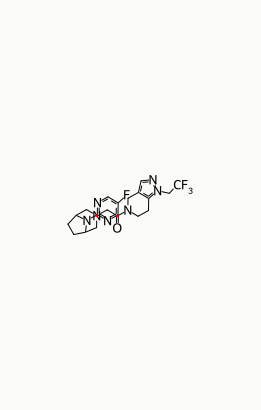 O=C(CN1CC2CCC(C1)N2c1ncc(F)cn1)N1CCc2c(cnn2CC(F)(F)F)C1